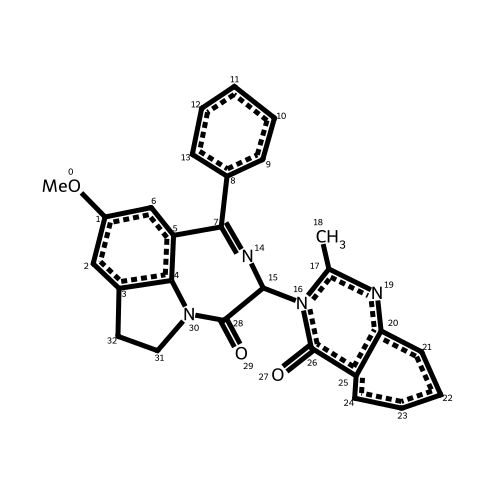 COc1cc2c3c(c1)C(c1ccccc1)=NC(n1c(C)nc4ccccc4c1=O)C(=O)N3CC2